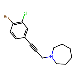 Clc1cc(C#CCN2CCCCCC2)ccc1Br